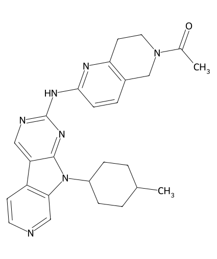 CC(=O)N1CCc2nc(Nc3ncc4c5ccncc5n(C5CCC(C)CC5)c4n3)ccc2C1